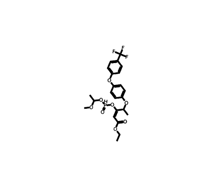 CCOC(=O)C=C(O[PH](=O)OC(C)OC)C(C)Oc1ccc(Oc2ccc(C(F)(F)F)cc2)cc1